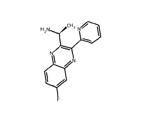 C[C@H](N)c1nc2ccc(F)cc2nc1-c1ccccn1